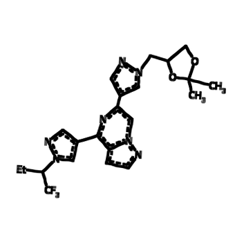 CCC(n1cc(-c2nc(-c3cnn(CC4COC(C)(C)O4)c3)cn3nccc23)cn1)C(F)(F)F